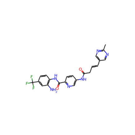 Cc1ncc(/C=C/CC(=O)Nc2ccc(C(=O)Nc3ccc(C(F)(F)F)cc3N)nc2)cn1